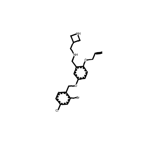 C=CCOc1ccc(OCc2ccc(Cl)cc2Br)cc1CNCC1CNC1